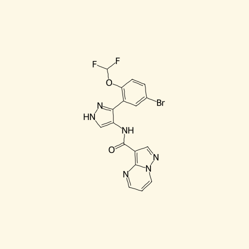 O=C(Nc1c[nH]nc1-c1cc(Br)ccc1OC(F)F)c1cnn2cccnc12